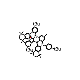 Cc1cc2c3c(c1)N(c1ccc(C(C)(C)C)cc1-c1ccc4c(c1)C(C)(C)CCC4(C)C)c1oc4ccc(C(C)(C)C)cc4c1B3c1cc3c(cc1N2c1ccc(C(C)(C)C)cc1)C(C)(C)CCC3(C)C